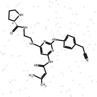 C/C(N)=C/C(=N)Nc1cc(NCCNC(=O)[C@@H]2CCCN2)nc(Nc2ccc(CC#N)cc2)n1